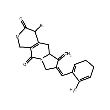 C=C1/C(=C\C2=CCCC=C2C)CN2C(=O)C3=C(CC12)C(CC)C(=O)OC3